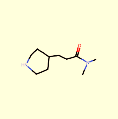 CN(C)C(=O)C[CH]C1CCNCC1